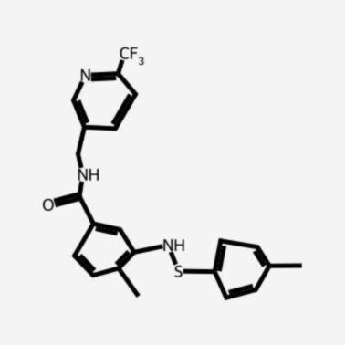 Cc1ccc(SNc2cc(C(=O)NCc3ccc(C(F)(F)F)nc3)ccc2C)cc1